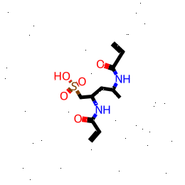 C=CC(=O)NC(C)CC(CS(=O)(=O)O)NC(=O)C=C